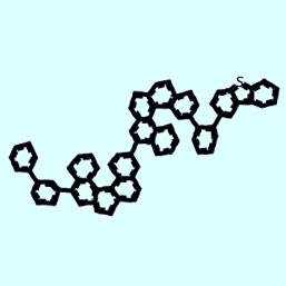 c1ccc(-c2cccc(-c3cc4ccc5ccc6cc(-c7cc8ccc9ccc%10ccc(-c%11ccccc%11-c%11ccc%12sc%13ccccc%13c%12c%11)cc%10c9c8c8ccccc78)ccc6c5c4c4ccccc34)c2)cc1